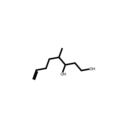 C=CCCC(C)C(O)CCO